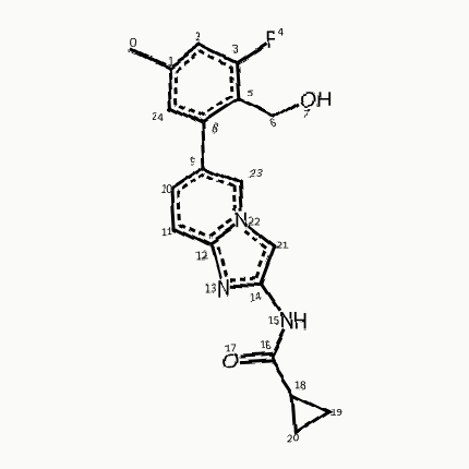 Cc1cc(F)c(CO)c(-c2ccc3nc(NC(=O)C4CC4)cn3c2)c1